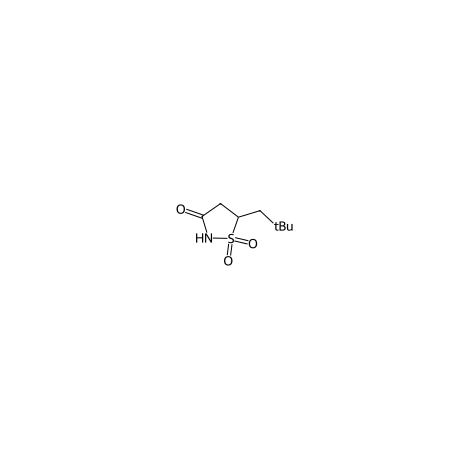 CC(C)(C)CC1CC(=O)NS1(=O)=O